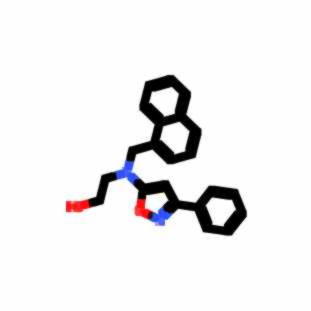 OCCN(Cc1cccc2ccccc12)c1cc(-c2ccccc2)no1